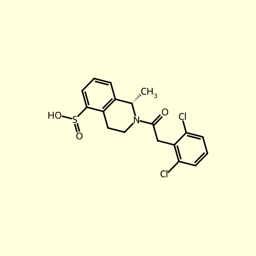 C[C@H]1c2cccc(S(=O)O)c2CCN1C(=O)Cc1c(Cl)cccc1Cl